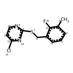 Cc1cccc(CSc2nccc(Cl)n2)c1F